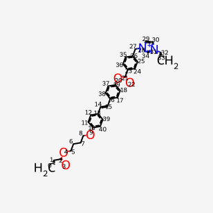 C=CC(=O)OCCCCOc1ccc(/C=C/c2ccc(OC(=O)c3ccc(C[n+]4ccn(C=C)c4)cc3)cc2)cc1